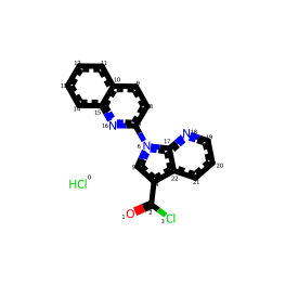 Cl.O=C(Cl)c1cn(-c2ccc3ccccc3n2)c2ncccc12